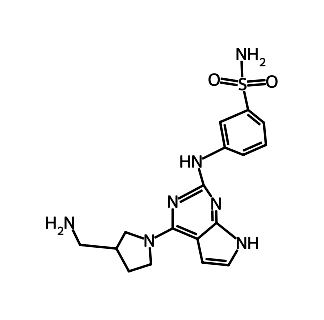 NCC1CCN(c2nc(Nc3cccc(S(N)(=O)=O)c3)nc3[nH]ccc23)C1